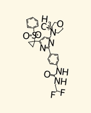 C[C@H]1COCCN1c1cc(C2(S(=O)(=O)c3ccccc3)CC2)nc(-c2ccc(NC(=O)NCC(F)F)cc2)n1